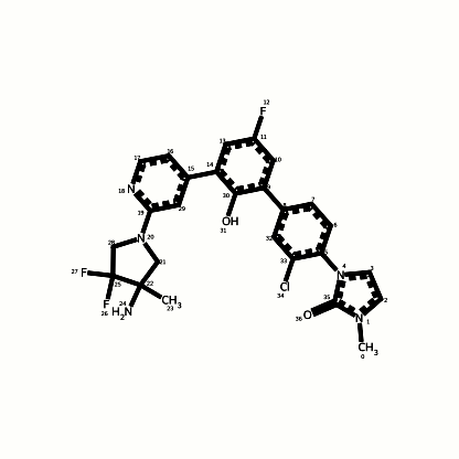 Cn1ccn(-c2ccc(-c3cc(F)cc(-c4ccnc(N5CC(C)(N)C(F)(F)C5)c4)c3O)cc2Cl)c1=O